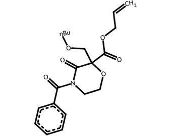 C=CCOC(=O)C1(COCCCC)OCCN(C(=O)c2ccccc2)C1=O